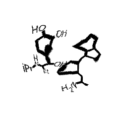 CC(N)Cc1ccccc1C1CCc2ccccc21.CCC(NC(C)C)C(O)c1ccc(O)c(O)c1